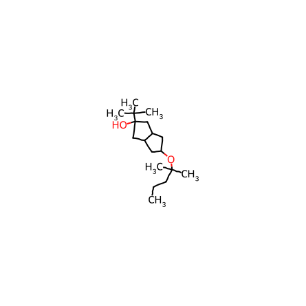 CCCC(C)(C)OC1CC2CC(O)(C(C)(C)C)CC2C1